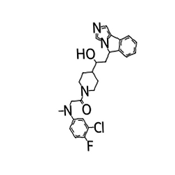 CN(CC(=O)N1CCC(C(O)CC2c3ccccc3-c3cncn32)CC1)c1ccc(F)c(Cl)c1